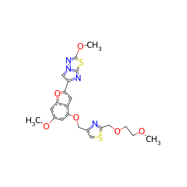 COCCOCc1nc(COc2cc(OC)cc3oc(-c4cn5nc(OC)sc5n4)cc23)cs1